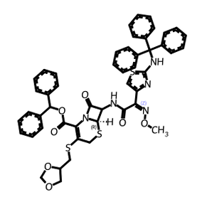 CO/N=C(\C(=O)NC1C(=O)N2C(C(=O)OC(c3ccccc3)c3ccccc3)=C(SCC3COCO3)CS[C@H]12)c1csc(NC(c2ccccc2)(c2ccccc2)c2ccccc2)n1